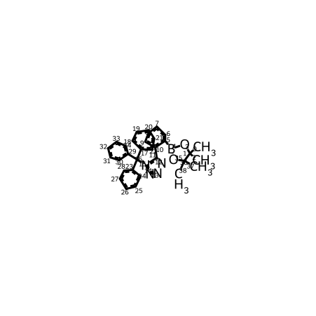 CC1(C)OB(c2ccccc2-c2nnnn2C(c2ccccc2)(c2ccccc2)c2ccccc2)OC1(C)C